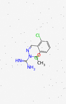 CC(=O)N(/N=C\c1c(Cl)cccc1Cl)C(=N)N